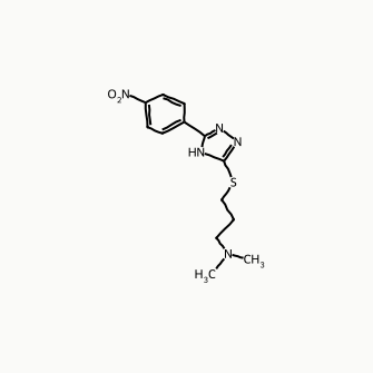 CN(C)CCCSc1nnc(-c2ccc([N+](=O)[O-])cc2)[nH]1